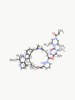 C=CC(=O)N1C[C@@H](C)N(C(=O)N(C)[C@H](C(=O)N[C@H]2Cc3nc(cs3)-c3ccc4c(c3)c(c(-c3cccnc3[C@H](C)OC)n4C)CC(C)(C)COCC3(C=O)CCCN(N3)C2=O)C(C)C)[C@H](C)C1